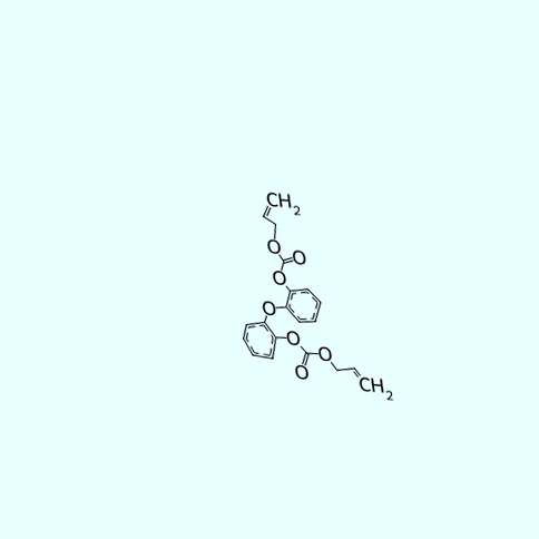 C=CCOC(=O)Oc1ccccc1Oc1ccccc1OC(=O)OCC=C